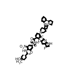 CC(C)c1ccccc1[C@H]1CCCN1C1CC2(CCN(c3ccc(C(=O)NS(=O)(=O)c4cc5c(c([N+](=O)[O-])c4)N[C@@H]([C@H]4CC[C@](C)(O)CC4)CO5)c(Oc4cc5c(F)c[nH]c5nc4C#N)c3)CC2)C1